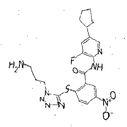 NCCCn1nnnc1Sc1ccc([N+](=O)[O-])cc1C(=O)Nc1ncc(C2CCCC2)cc1F